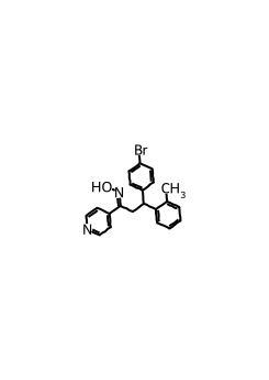 Cc1ccccc1C(CC(=NO)c1ccncc1)c1ccc(Br)cc1